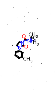 Cc1cccc(N2CCN(C(=O)NC(C)C)C2=O)c1